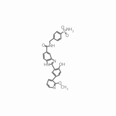 COc1ncccc1-c1ccc(O)c(-c2nc3cc(C(=O)NCc4ccc(S(N)(=O)=O)cc4)ccc3[nH]2)c1